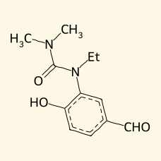 CCN(C(=O)N(C)C)c1cc(C=O)ccc1O